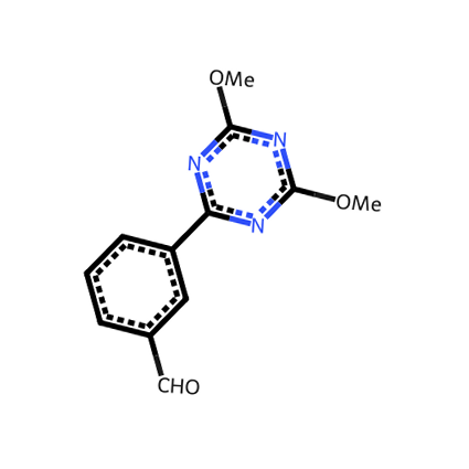 COc1nc(OC)nc(-c2cccc(C=O)c2)n1